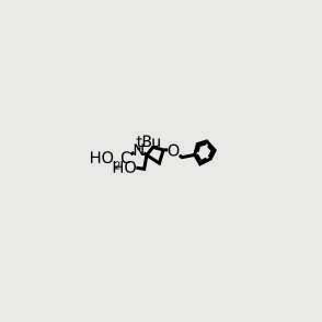 CC(C)(C)N(C(=O)O)C1(CO)CC(OCc2ccccc2)C1